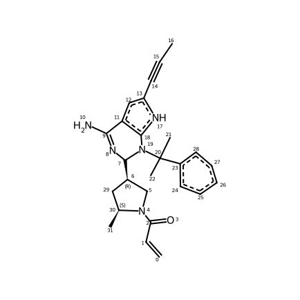 C=CC(=O)N1C[C@H](C2N=C(N)c3cc(C#CC)[nH]c3N2C(C)(C)c2ccccc2)C[C@@H]1C